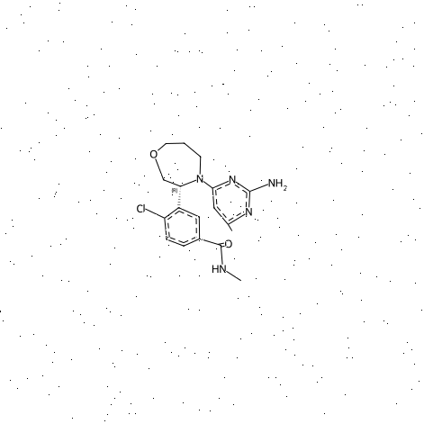 CNC(=O)c1ccc(Cl)c([C@@H]2COCCCN2c2cc(C)nc(N)n2)c1